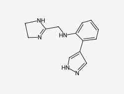 c1ccc(-c2cn[nH]c2)c(NCC2=NCCN2)c1